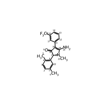 Cc1ccc(C)c(C2C(=O)C(c3cccc(C(F)(F)F)c3)=C(N)N2C)c1